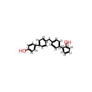 Oc1ccc(-c2ccc(Cc3ccc(-c4ccccc4O)cc3)cc2)cc1